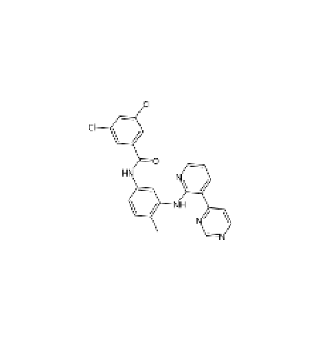 Cc1ccc(NC(=O)c2cc(Cl)cc(Cl)c2)cc1Nc1ncccc1-c1ccncn1